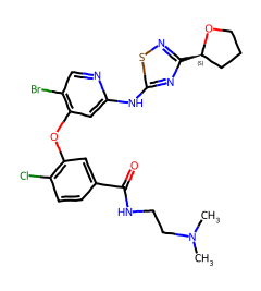 CN(C)CCNC(=O)c1ccc(Cl)c(Oc2cc(Nc3nc([C@@H]4CCCO4)ns3)ncc2Br)c1